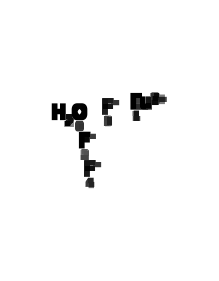 O.[Eu+3].[F-].[F-].[F-]